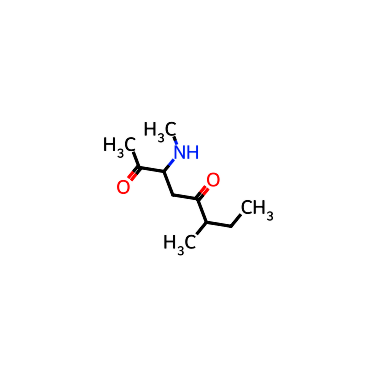 CCC(C)C(=O)CC(NC)C(C)=O